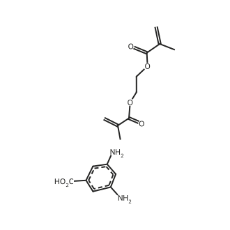 C=C(C)C(=O)OCCOC(=O)C(=C)C.Nc1cc(N)cc(C(=O)O)c1